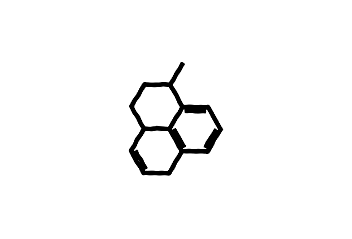 CC1CCC2C=CCc3cccc1c32